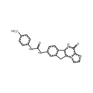 O=C(Nc1ccc(C(=O)O)cc1)Nc1ccc2c(c1)Cc1c-2[nH]c(=O)c2nccn12